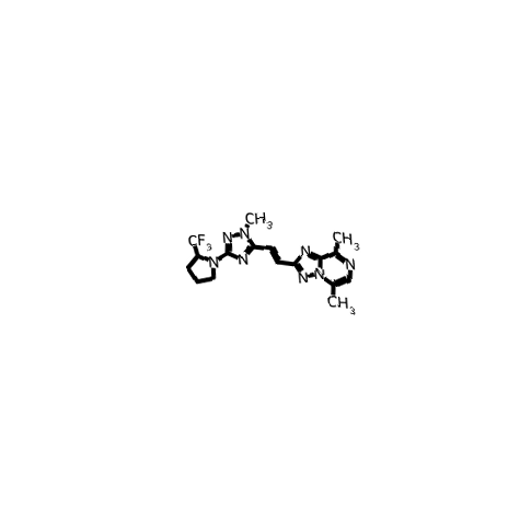 Cc1ncc(C)n2nc(C=Cc3nc(N4CCCC4C(F)(F)F)nn3C)nc12